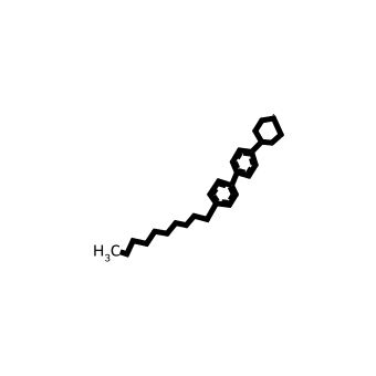 CCCCCCCCCCc1ccc(-c2ccc(C3CC[CH]CC3)cc2)cc1